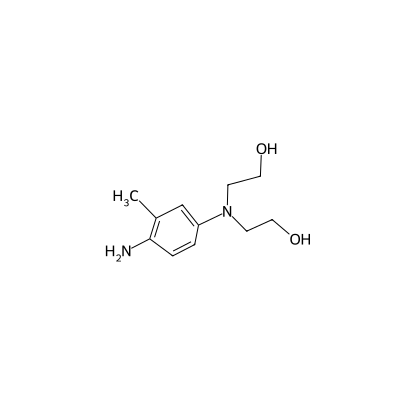 Cc1cc(N(CCO)CCO)ccc1N